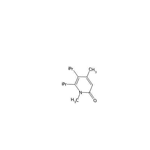 Cc1cc(=O)n(C)c(C(C)C)c1C(C)C